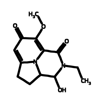 CCN1C(=O)c2c(OC)c(=O)cc3n2C(CC3)C1O